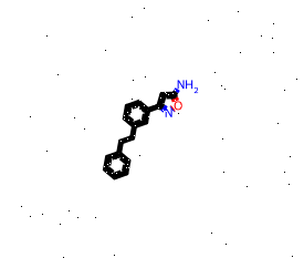 Nc1cc(-c2cccc(CCc3ccccc3)c2)no1